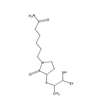 CCC(S)C(C)SC1CCN(CCCCCC(N)=O)C1=O